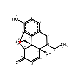 CC[C@@H]1Cc2ccc(O)c3c2[C@@]2(CC)C(O3)C(=O)C=C[C@@]12O